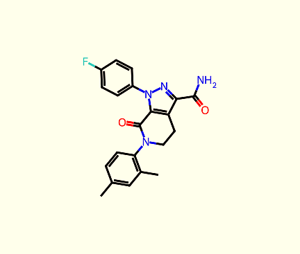 Cc1ccc(N2CCc3c(C(N)=O)nn(-c4ccc(F)cc4)c3C2=O)c(C)c1